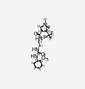 COc1ccccc1NC(=O)NCCNC(=O)c1cn(C)nc1C(F)(F)F